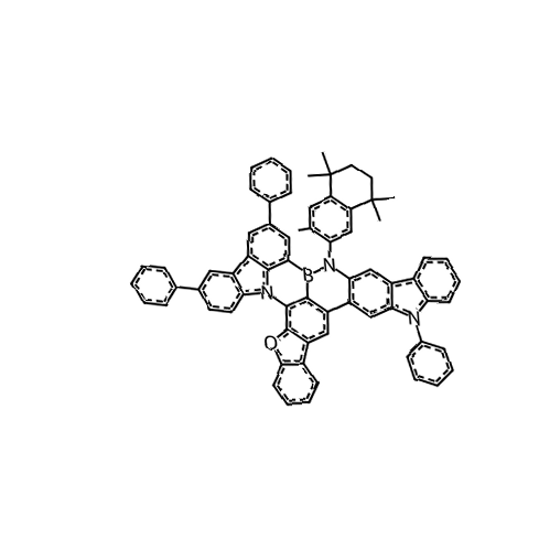 Cc1cc2c(cc1N1B3c4c(cc5c(oc6ccccc65)c4-n4c5ccc(-c6ccccc6)cc5c5cc(-c6ccccc6)cc3c54)-c3cc4c(cc31)c1ccccc1n4-c1ccccc1)C(C)(C)CCC2(C)C